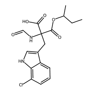 CCC(C)OC(=O)C(Cc1c[nH]c2c(Cl)cccc12)(NC=O)C(=O)O